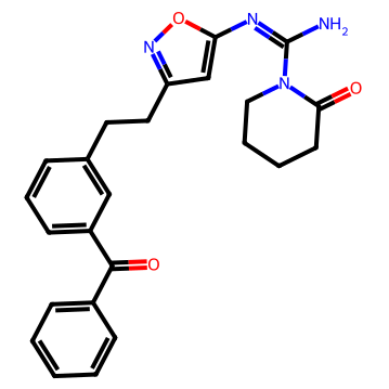 NC(=Nc1cc(CCc2cccc(C(=O)c3ccccc3)c2)no1)N1CCCCC1=O